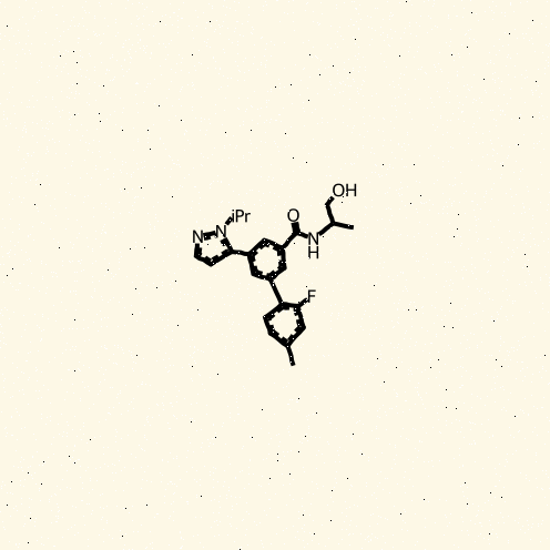 Cc1ccc(-c2cc(C(=O)NC(C)CO)cc(-c3ccnn3C(C)C)c2)c(F)c1